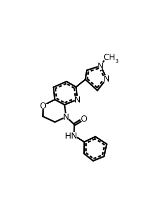 Cn1cc(-c2ccc3c(n2)N(C(=O)Nc2ccccc2)CCO3)cn1